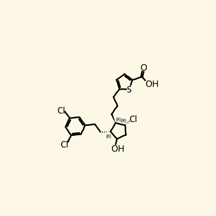 O=C(O)c1ccc(CCC[C@H]2[C@H](Cl)CC(O)[C@@H]2CCc2cc(Cl)cc(Cl)c2)s1